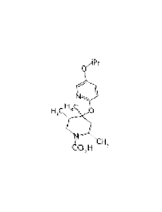 CC(C)Oc1ccc(OC2(C)C[C@H](C)N(C(=O)O)C[C@@H]2C)nc1